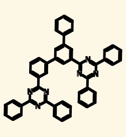 c1ccc(-c2cc(-c3cccc(-c4nc(-c5ccccc5)nc(-c5ccccc5)n4)c3)cc(-c3nc(-c4ccccc4)nc(-c4ccccc4)n3)c2)cc1